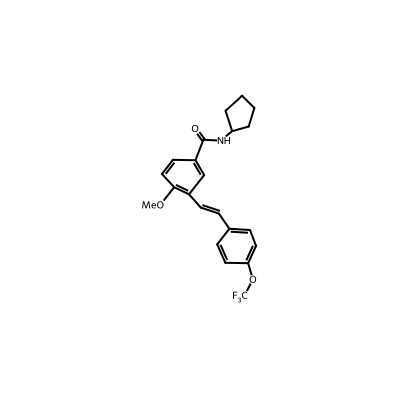 COc1ccc(C(=O)NC2CCCC2)cc1C=Cc1ccc(OC(F)(F)F)cc1